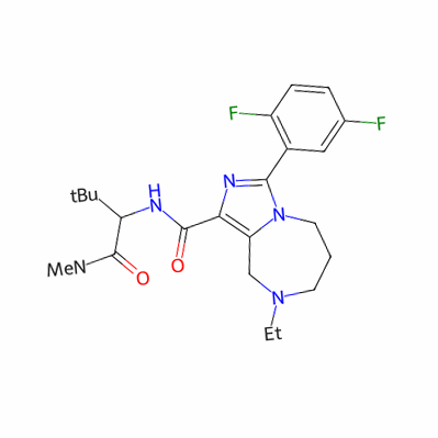 CCN1CCCn2c(-c3cc(F)ccc3F)nc(C(=O)NC(C(=O)NC)C(C)(C)C)c2C1